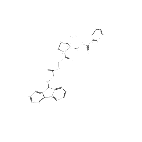 CC(=O)O[C@H]1CCN(C(=O)CNC(=O)OCC2c3ccccc3-c3ccccc32)[C@@H]1COC(=O)c1ccccc1